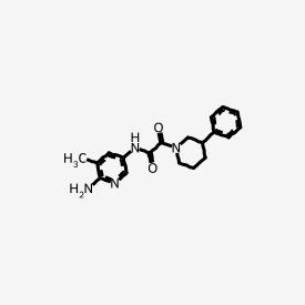 Cc1cc(NC(=O)C(=O)N2CCCC(c3ccccc3)C2)cnc1N